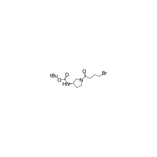 CC(C)(C)OC(=O)N[C@@H]1CCN(C(=O)CCCBr)C1